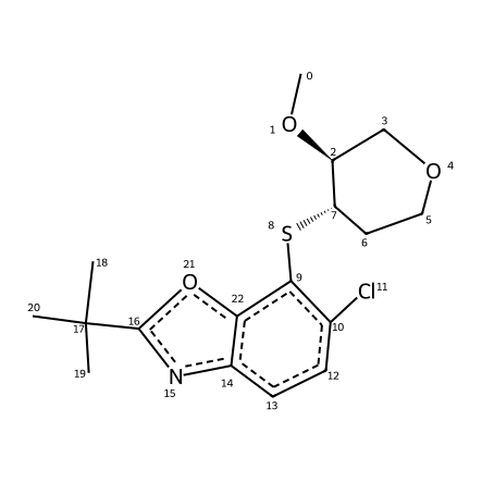 CO[C@H]1COCC[C@@H]1Sc1c(Cl)ccc2nc(C(C)(C)C)oc12